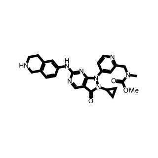 COC(=O)N(C)Cc1cc(-n2c3nc(Nc4ccc5c(c4)CCNC5)ncc3c(=O)n2C2CC2)ccn1